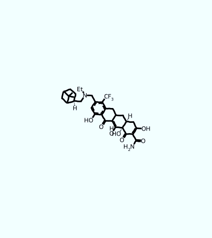 CCN(Cc1cc(O)c2c(c1C(F)(F)F)CC1C[C@H]3CC(O)=C(C(N)=O)C(=O)[C@@]3(O)C(O)=C1C2=O)C[C@@H]1CCC2CC1C2(C)C